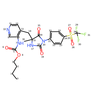 CCCCOC(=O)Nc1cnccc1CC1(C)NC(=O)N(c2ccc(S(=O)(=O)C(F)(F)F)cc2)C1=O